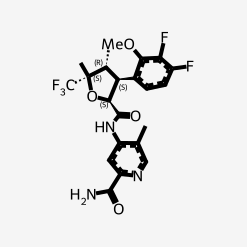 COc1c([C@H]2[C@@H](C(=O)Nc3cc(C(N)=O)ncc3C)O[C@](C)(C(F)(F)F)[C@@H]2C)ccc(F)c1F